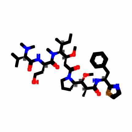 CC[C@H](C)[C@@H]([C@@H](CC(=O)N1CCC[C@H]1[C@H](OC)[C@@H](C)C(=O)N[C@@H](Cc1ccccc1)c1nccs1)OC)N(C)C(=O)[C@H](CCO)NC(=O)[C@H](C(C)C)N(C)C